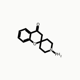 O=C1CC2(CCN(P)CC2)Oc2ccccc21